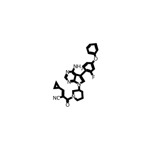 N#CC(=CC1CC1)C(=O)N1CCCC(n2cc(-c3ccc(Oc4ccccc4)cc3F)c3c(N)ncnc32)C1